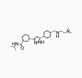 CC(C)NC(=O)c1cccc(-c2cc(-c3ccc(CNCCN(C)C)cc3)[nH]n2)c1